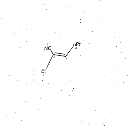 CCC/C=C(\C#N)CC